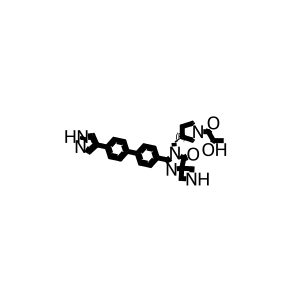 CC(O)C(=O)N1CC[C@@H](CN2C(=O)C3(CNC3)N=C2c2ccc(-c3ccc(-c4cn[nH]c4)cc3)cc2)C1